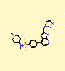 CN1CCC(N(C)S(=O)(=O)c2ccc(-c3ccnc4[nH]c(Cn5ccnn5)cc34)cc2)CC1